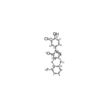 O=c1n(Cc2c(F)cccc2F)cnn1-c1ccc(O)c(Cl)c1